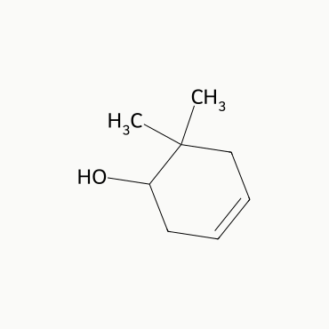 CC1(C)CC=CCC1O